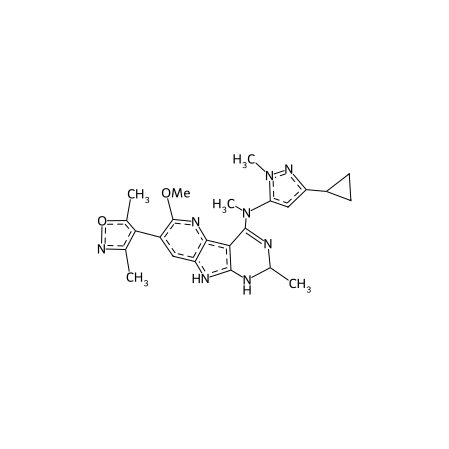 COc1nc2c3c([nH]c2cc1-c1c(C)noc1C)NC(C)N=C3N(C)c1cc(C2CC2)nn1C